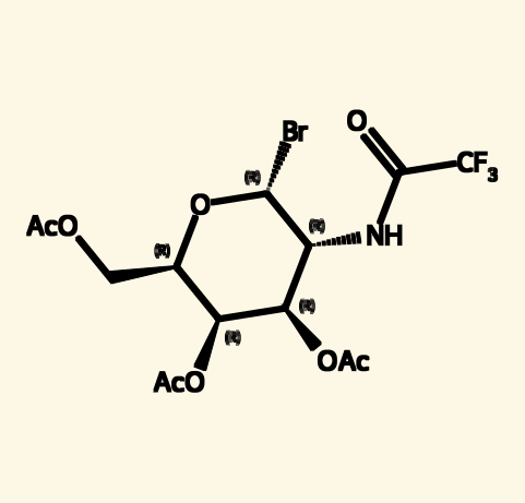 CC(=O)OC[C@H]1O[C@H](Br)[C@H](NC(=O)C(F)(F)F)[C@@H](OC(C)=O)[C@H]1OC(C)=O